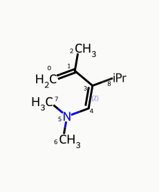 C=C(C)/C(=C\N(C)C)C(C)C